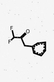 O=C(Cc1ccccc1)[C](F)F